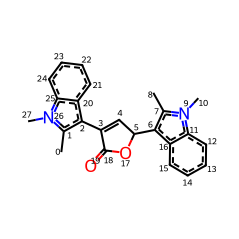 Cc1c(C2=CC(c3c(C)n(C)c4ccccc34)OC2=O)c2ccccc2n1C